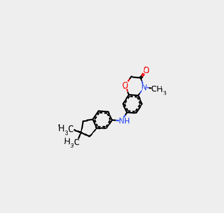 CN1C(=O)COc2cc(Nc3ccc4c(c3)CC(C)(C)C4)ccc21